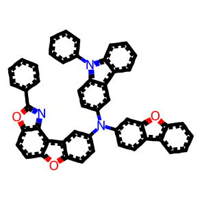 c1ccc(-c2nc3c(ccc4oc5ccc(N(c6ccc7c(c6)oc6ccccc67)c6ccc7c(c6)c6ccccc6n7-c6ccccc6)cc5c43)o2)cc1